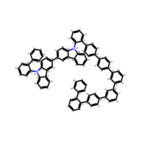 c1ccc(-c2ccccc2-c2ccc(-c3cccc(-c4cccc(-c5ccc(-c6ccc(-c7ccccc7-n7c8ccccc8c8cc(-c9ccc%10c(c9)c9ccccc9n%10-c9ccccc9-c9ccccc9)ccc87)cc6)cc5)c4)c3)cc2)cc1